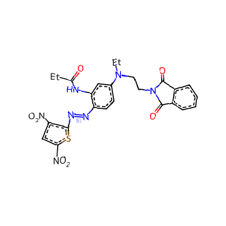 CCC(=O)Nc1cc(N(CC)CCN2C(=O)c3ccccc3C2=O)ccc1/N=N/c1sc([N+](=O)[O-])cc1[N+](=O)[O-]